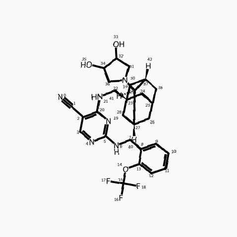 N#Cc1cnc(NCc2ccccc2OC(F)(F)F)nc1NC[C@@]12CC3C[C@H](C1)[C@@H](N1CC(O)C(O)C1)[C@@H](C3)C2